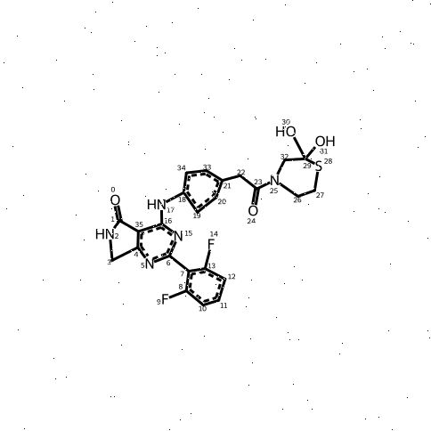 O=C1NCc2nc(-c3c(F)cccc3F)nc(Nc3ccc(CC(=O)N4CCSC(O)(O)C4)cc3)c21